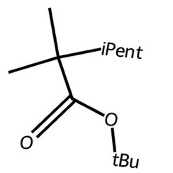 CCCC(C)C(C)(C)C(=O)OC(C)(C)C